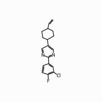 C=CC1CCC(c2cnc(-c3ccc(F)c(Cl)c3)nc2)CC1